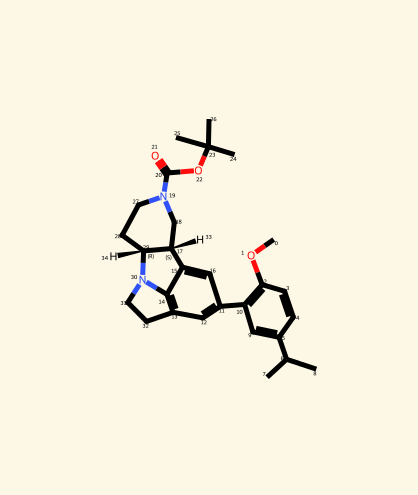 COc1ccc(C(C)C)cc1-c1cc2c3c(c1)[C@H]1CN(C(=O)OC(C)(C)C)CC[C@H]1N3CC2